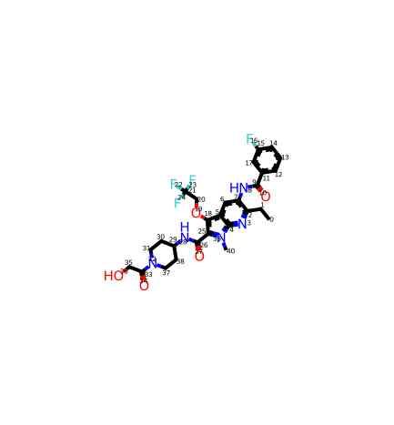 CCc1nc2c(cc1NC(=O)c1cccc(F)c1)c(OCC(F)(F)F)c(C(=O)NC1CCN(C(=O)CO)CC1)n2C